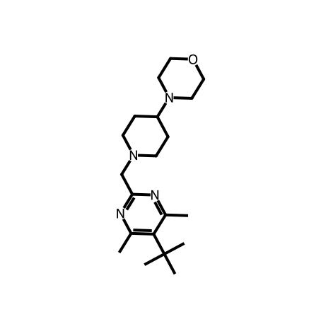 Cc1nc(CN2CCC(N3CCOCC3)CC2)nc(C)c1C(C)(C)C